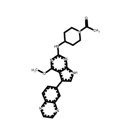 COc1nc(NC2CCN(C(C)=O)CC2)nc2[nH]cc(-c3ccc4nccnc4c3)c12